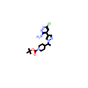 CC(C1CCN(C(=O)OC(C)(C)C)CC1)n1cc(-c2cc(Cl)nnc2N)cn1